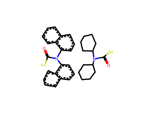 O=C(S)N(C1CCCCC1)C1CCCCC1.O=C(S)N(c1cccc2ccccc12)c1cccc2ccccc12